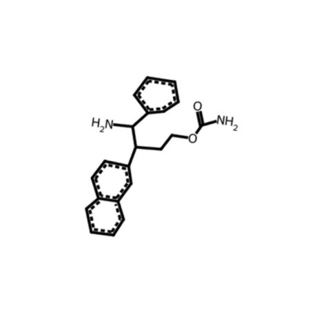 NC(=O)OCCC(c1ccc2ccccc2c1)C(N)c1ccccc1